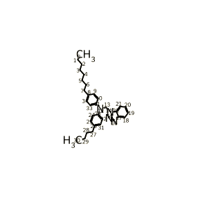 CCCCCCCCc1ccc(N(Cn2nnc3ccccc32)c2ccc(CCCC)cc2)cc1